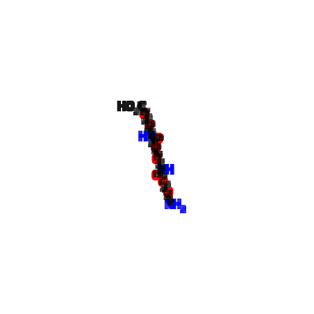 NCCOCCOCC(=O)NCCOCCOCC(=O)NCCOCCOCC(=O)O